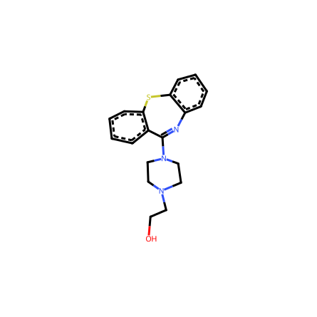 OCCN1CCN(C2=Nc3ccccc3Sc3ccccc32)CC1